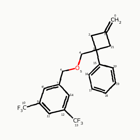 C=C1CC(COCc2cc(C(F)(F)F)cc(C(F)(F)F)c2)(c2ccccc2)C1